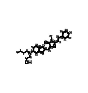 CCCCN(CCO)c1ccc2cc(/C=C3N=C(/C=C/c4ccccc4)N(C)C/3=O)sc2c1